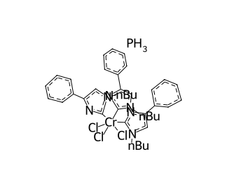 CCCCn1cc(-c2ccccc2)n[c]1[Cr]([Cl])([Cl])([Cl])([c]1nc(-c2ccccc2)cn1CCCC)[c]1nc(-c2ccccc2)cn1CCCC.P